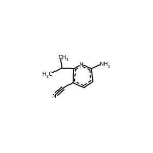 CC(C)c1nc(N)ccc1C#N